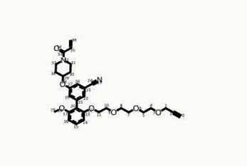 C#CCOCCOCCOCCOc1cccc(OC)c1-c1cc(C#N)cc(OC2CCN(C(=O)C=C)CC2)c1